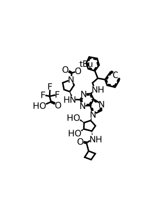 CC(C)(C)OC(=O)N1CC[C@H](Nc2nc(NCC(c3ccccc3)c3ccccc3)c3ncn([C@@H]4C[C@H](NC(=O)C5CCC5)[C@@H](O)[C@H]4O)c3n2)C1.O=C(O)C(F)(F)F